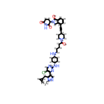 Cn1ncc(-c2nc(N[C@H]3CC[C@H](NCCCCC(=O)N4CCC(C#Cc5cccc6c5CN(C5CCC(=O)NC5=O)C6=O)CC4)CC3)ncc2Cl)c1CC1CC1